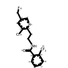 O=C(NCCc1ncc(CF)cc1Cl)c1ccccc1C(F)(F)F